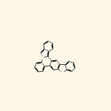 c1ccc2c(c1)cn1c3ccccc3c3cc4sc5ccccc5c4cc3c21